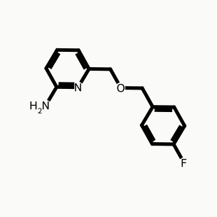 Nc1cccc(COCc2ccc(F)cc2)n1